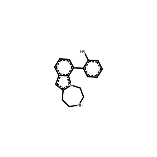 Sc1ccccc1-c1cccc2cc3n(c12)CCNCC3